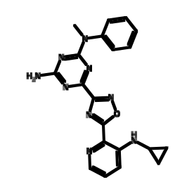 CN(c1ccccc1)c1nc(N)nc(-c2noc(-c3ncccc3NC3CC3)n2)n1